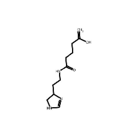 C=C(O)CCCC(=O)NCCC1CNC=N1